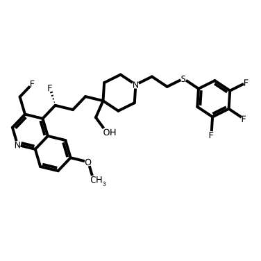 COc1ccc2ncc(CF)c([C@H](F)CCC3(CO)CCN(CCSc4cc(F)c(F)c(F)c4)CC3)c2c1